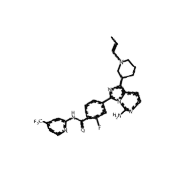 CC=CN1CCCC(c2nc(-c3ccc(C(=O)Nc4cc(C(F)(F)F)ccn4)c(F)c3)n3c(N)nccc23)C1